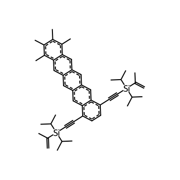 C=C(C)[Si](C#Cc1ccc(C#C[Si](C(=C)C)(C(C)C)C(C)C)c2cc3cc4cc5c(C)c(C)c(C)c(C)c5cc4cc3cc12)(C(C)C)C(C)C